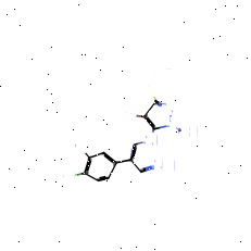 Cc1cc(/C(C=N)=C/Nc2c(Br)c(SC(F)(F)F)nn2C)ccc1Cl